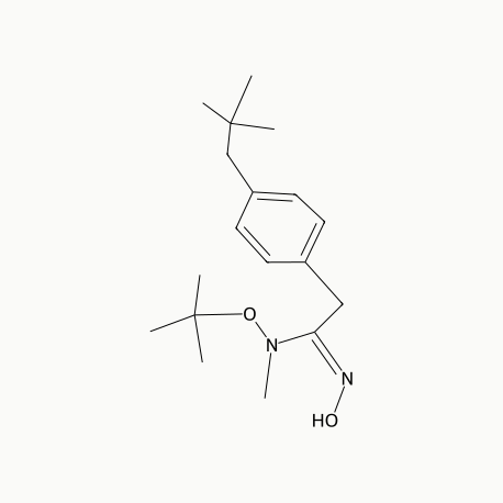 CN(OC(C)(C)C)/C(Cc1ccc(CC(C)(C)C)cc1)=N\O